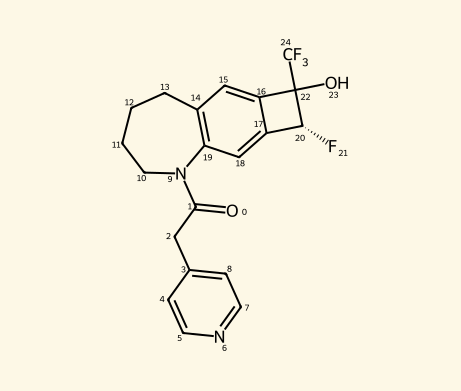 O=C(Cc1ccncc1)N1CCCCc2cc3c(cc21)[C@@H](F)C3(O)C(F)(F)F